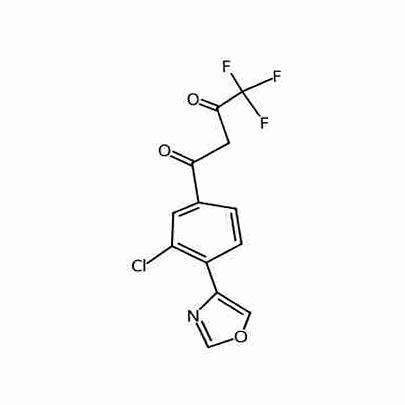 O=C(CC(=O)C(F)(F)F)c1ccc(-c2cocn2)c(Cl)c1